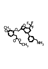 CCOC(=O)Cc1ccc(OC)cc1OCc1coc2c(C(F)(F)F)cc(-c3cccc(CN)c3)cc12